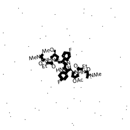 CC[C@H](NC(=O)[C@H](C)NC)C(=O)N1C[C@@H](COC)C[C@H]1Cc1c(-c2[nH]c3cc(F)ccc3c2C[C@@H]2C[C@H](OC(C)=O)CN2C(=O)[C@H](CC)NC(=O)[C@H](C)NC)[nH]c2cc(F)ccc12